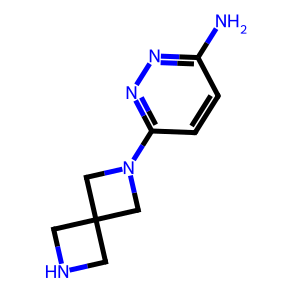 Nc1ccc(N2CC3(CNC3)C2)nn1